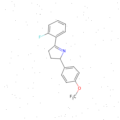 Fc1ccccc1C1=NC(c2ccc(OC(F)(F)F)cc2)CC1